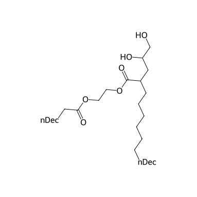 CCCCCCCCCCCCCCCCC(CC(O)CO)C(=O)OCCOC(=O)CCCCCCCCCCC